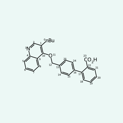 CCCCc1cnc2ccccc2c1OCc1ccc(-c2ccccc2C(=O)O)cc1